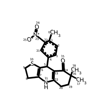 Cc1ccc(C2C3=C(CCS3)NC3=C2C(=O)C(C)(C)CC3)cc1[N+](=O)[O-]